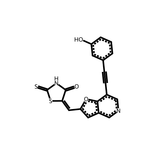 O=C1NC(=S)SC1=Cc1cc2cncc(C#Cc3cccc(O)c3)c2o1